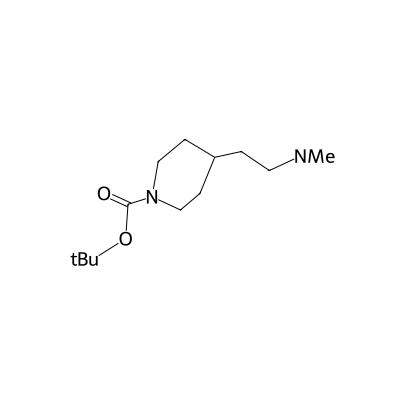 CNCCC1CCN(C(=O)OC(C)(C)C)CC1